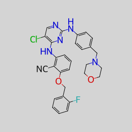 N#Cc1c(Nc2nc(Nc3ccc(CN4CCOCC4)cc3)ncc2Cl)cccc1OCc1ccccc1F